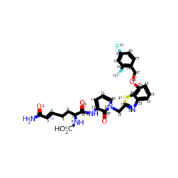 NC(=O)/C=C/CCC(NC(=O)O)C(=O)Nc1cccn(Cc2nc3cccc(OCc4ccc(F)cc4F)c3s2)c1=O